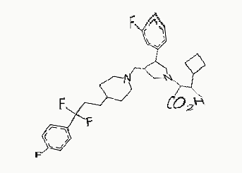 CC(C1CCC1)C(C(=O)O)N1CC(CN2CCC(CCC(F)(F)c3ccc(F)cc3)CC2)C(c2cccc(F)c2)C1